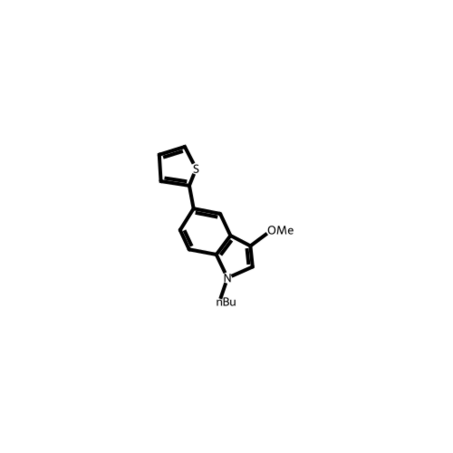 CCCCn1cc(OC)c2cc(-c3cccs3)ccc21